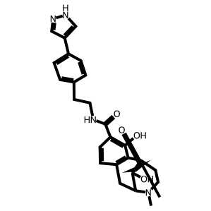 CN1CCC23CC(=O)CCC2(O)C1Cc1ccc(C(=O)NCCc2ccc(-c4cn[nH]c4)cc2)c(O)c13